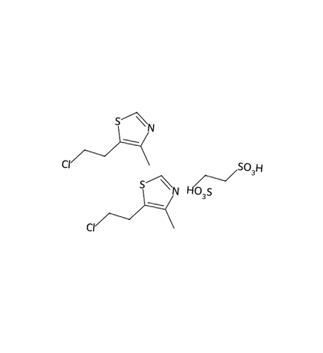 Cc1ncsc1CCCl.Cc1ncsc1CCCl.O=S(=O)(O)CCS(=O)(=O)O